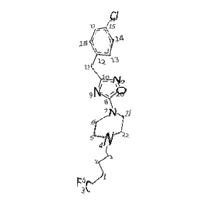 FC(F)(F)CCCN1CCN(c2nc(Cc3ccc(Cl)cc3)no2)CC1